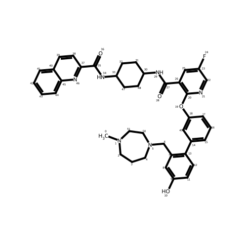 CN1CCCN(Cc2cc(O)ccc2-c2cccc(Oc3ncc(F)cc3C(=O)NC3CCC(NC(=O)c4ccc5ccccc5n4)CC3)c2)CC1